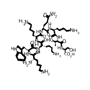 C[C@@H](O)[C@H](NC(=O)[C@H](CCCCN)NC(=O)[C@H](CCC(N)=O)NC(=O)[C@H](CCCCN)NC(=O)[C@H](CCCCN)NC(=O)[C@H](Cc1c[nH]c2ccccc12)NC(=O)[C@@H](N)CCCCN)C(=O)N[C@@H](CO)C(=O)O